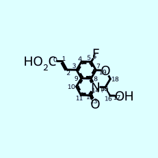 O=C(O)C=Cc1cc(F)c2c3c1ccc(=O)n3[C@H](CO)CO2